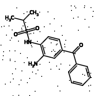 CC(C)S(=O)(=O)Nc1ccc(C(=O)c2ccccc2)cc1N